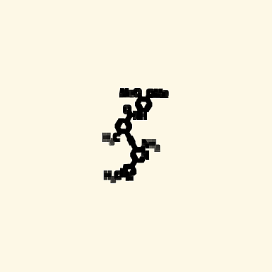 COc1ccc(NC(=O)c2ccc(C)c(C#Cc3cc(-c4cnn(C)c4)cnc3N)c2)cc1OC